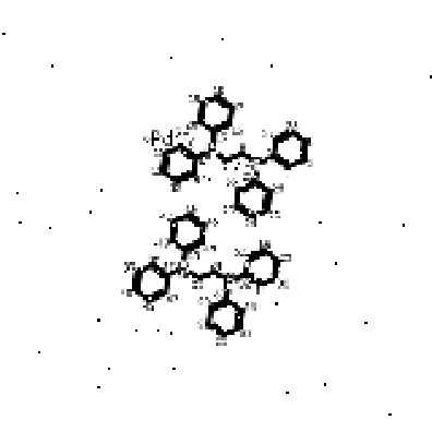 [Pd+2].c1ccc(P(CCP(c2ccccc2)c2ccccc2)c2ccccc2)cc1.c1ccc(P(CCP(c2ccccc2)c2ccccc2)c2ccccc2)cc1